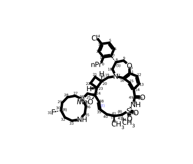 CCCc1cc(Cl)ccc1[C@@H]1COc2ccc3cc2N(C1)C[C@@H]1CC[C@H]1[C@@](CN1CCC[C@@H](F)CCNCC1)(OC)/C=C/C[C@H](C)[C@@H](C)S(=O)(=O)NC3=O